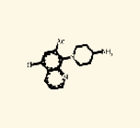 CC(=O)c1cc(Cl)c2cccnc2c1N1CCC(N)CC1